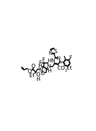 C=CCOC(=O)C(O)(CC)CN1OC[C@@H]2[C@H]1C(F)(F)CN2CC1=C(C(=O)OCC)[C@H](c2cccc(F)c2C)N=C(c2nccs2)N1